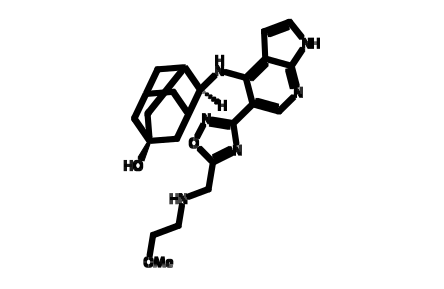 COCCNCc1nc(-c2cnc3[nH]ccc3c2N[C@H]2C3CC4CC2C[C@@](O)(C4)C3)no1